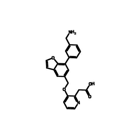 NCc1cccc(-c2cc(COc3cccnc3CC(=O)O)cc3ccoc23)c1